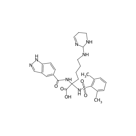 Cc1cccc(C)c1S(=O)(=O)NC(CCCCNC1N=CCCN1)(NC(=O)c1ccc2[nH]ncc2c1)C(=O)O